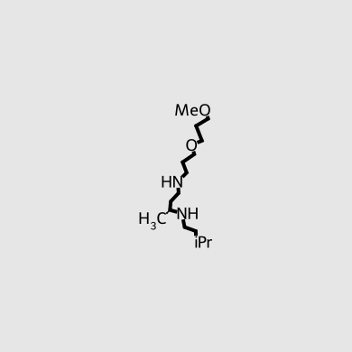 COCCCOCCCNCC[C@@H](C)NCCC(C)C